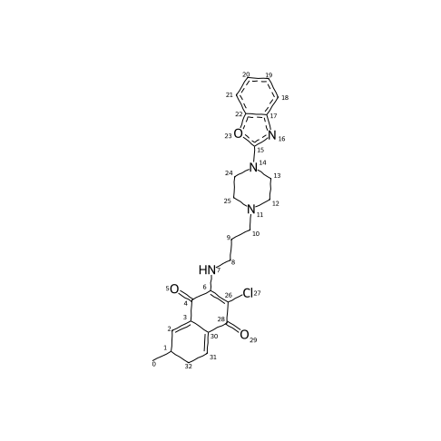 CC1C=C2C(=O)C(NCCCN3CCN(c4nc5ccccc5o4)CC3)=C(Cl)C(=O)C2=CC1